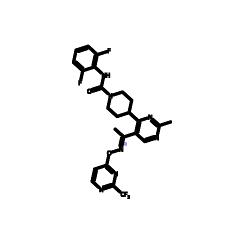 C/C(=N\Oc1ccnc(C(F)(F)F)n1)c1cnc(C)nc1C1CCN(C(=O)Nc2c(F)cccc2F)CC1